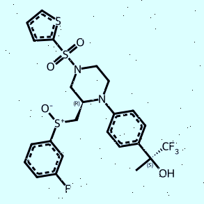 C[C@](O)(c1ccc(N2CCN(S(=O)(=O)c3cccs3)C[C@@H]2C[S+]([O-])c2cccc(F)c2)cc1)C(F)(F)F